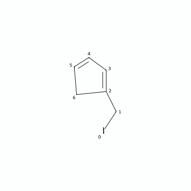 ICC1=CC=CC1